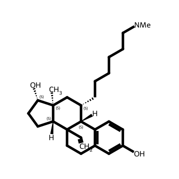 C=CC12CCc3cc(O)ccc3[C@H]1[C@@H](CCCCCCNC)C[C@]1(C)[C@@H](O)CC[C@@H]21